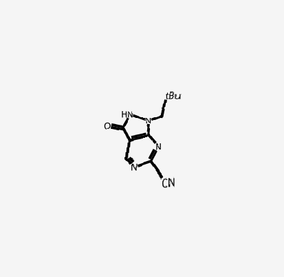 CC(C)(C)Cn1[nH]c(=O)c2cnc(C#N)nc21